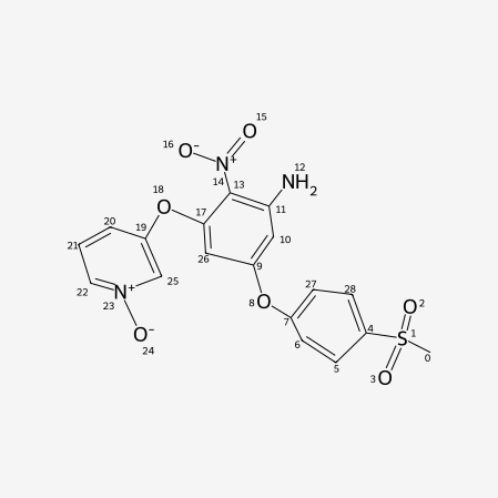 CS(=O)(=O)c1ccc(Oc2cc(N)c([N+](=O)[O-])c(Oc3ccc[n+]([O-])c3)c2)cc1